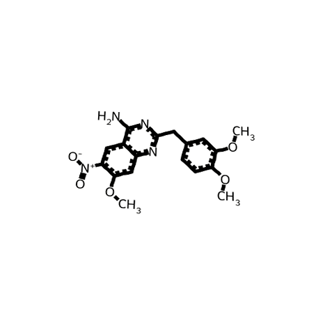 COc1ccc(Cc2nc(N)c3cc([N+](=O)[O-])c(OC)cc3n2)cc1OC